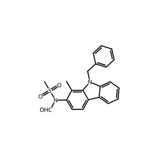 Cc1c(N(C=O)S(C)(=O)=O)ccc2c3ccccc3n(Cc3ccccc3)c12